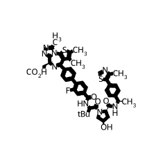 Cc1ncsc1-c1ccc([C@H](C)NC(=O)[C@@H]2C[C@@H](O)CN2C(=O)C(NC(=O)c2ccc(-c3ccc(C4=N[C@@H](CC(=O)O)c5nnc(C)n5-c5sc(C)c(C)c54)cc3)c(F)c2)C(C)(C)C)cc1